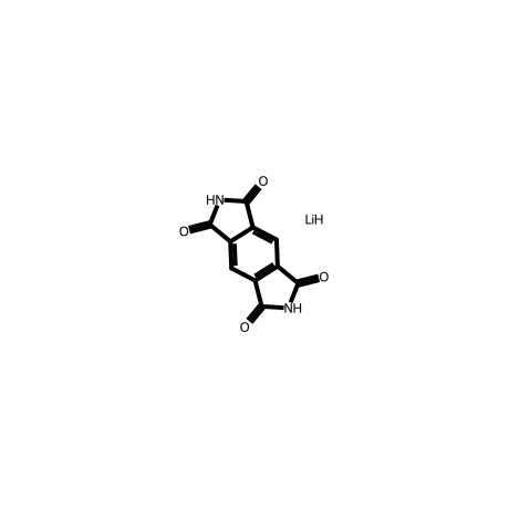 O=c1[nH]c(=O)c2cc3c(=O)[nH]c(=O)c3cc12.[LiH]